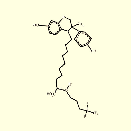 CC1(c2ccc(O)cc2)COc2cc(O)ccc2C1CCCCCCCCC(C(=O)O)[S+]([O-])CCCC(F)(F)C(F)(F)F